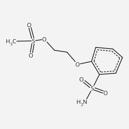 CS(=O)(=O)OCCOc1ccccc1S(N)(=O)=O